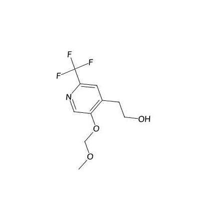 COCOc1cnc(C(F)(F)F)cc1CCO